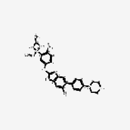 CCO[PH]1(c2cc(Oc3nc4cc(-c5ccc(N6CCOCC6)cc5)c(Cl)cc4[nH]3)ccc2C)OC(C)O1